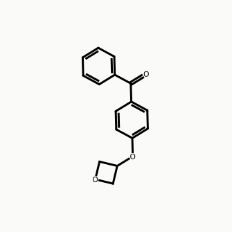 O=C(c1ccccc1)c1ccc(OC2COC2)cc1